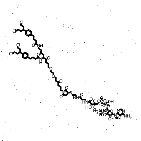 CC(C)(COP(=O)(O)OP(=O)(O)OC[C@H]1O[C@@H](n2cnc3c(N)ncnc32)[C@@H](O)C1OP(=O)(O)O)[C@@H](O)C(=O)NCCC(=O)NCCSC1CC(=O)N(CCCC(=O)CCOCCOCCCC(=O)C(CCCCNC(=O)CCCc2ccc(C(CCCl)CCCl)cc2)NC(=O)CCCc2ccc(C(CCCl)CCCl)cc2)C1=O